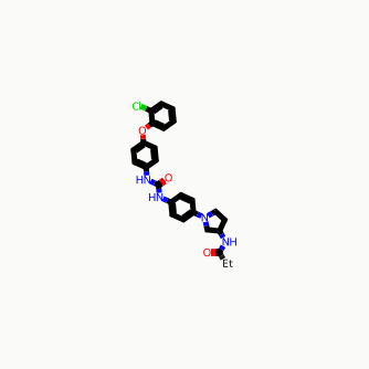 CCC(=O)NC1CCN(c2ccc(NC(=O)Nc3ccc(Oc4ccccc4Cl)cc3)cc2)C1